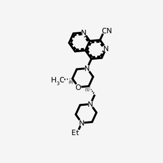 CCN1CCN(C[C@H]2CN(c3cnc(C#N)c4ncccc34)C[C@@H](C)O2)CC1